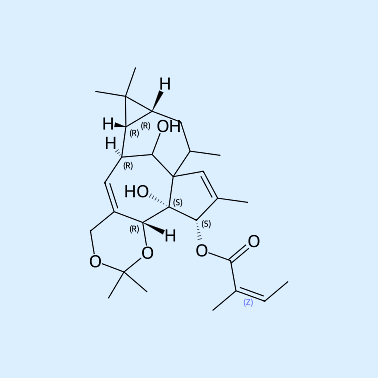 C/C=C(/C)C(=O)O[C@H]1C(C)=CC23C(C)C[C@@H]4[C@H]([C@H](C=C5COC(C)(C)O[C@H]5[C@]12O)C3O)C4(C)C